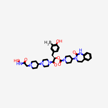 Bc1cc(C[C@@H](OC(=O)N2CCC(N3CCc4ccccc4NC3=O)CC2)C(=O)N2CCN(C3CCN(CC(=O)NO)CC3)CC2)ccc1O